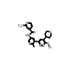 CCOc1nnc(-c2cc(NC(=O)c3ccnc(C(F)(F)F)c3)cnc2C)cc1C1CCOCC1